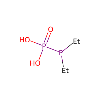 CCP(CC)P(=O)(O)O